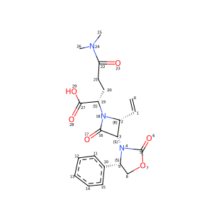 C=C[C@@H]1[C@H](N2C(=O)OC[C@@H]2c2ccccc2)C(=O)N1[C@@H](CCC(=O)N(C)C)C(=O)O